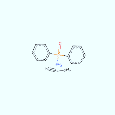 C#CC.NP(=O)(c1ccccc1)c1ccccc1